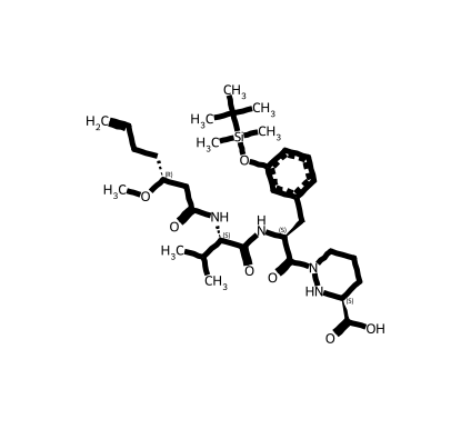 C=CCC[C@H](CC(=O)N[C@H](C(=O)N[C@@H](Cc1cccc(O[Si](C)(C)C(C)(C)C)c1)C(=O)N1CCC[C@@H](C(=O)O)N1)C(C)C)OC